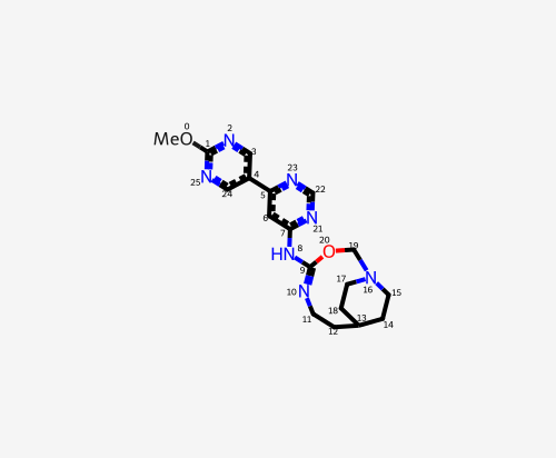 COc1ncc(-c2cc(N/C3=N/CCC4CCN(CC4)CO3)ncn2)cn1